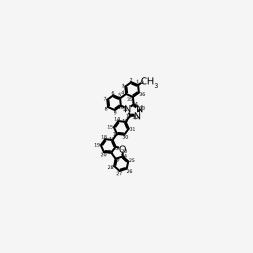 Cc1ccc2c3ccccc3n3c(-c4ccc(-c5cccc6c5oc5ccccc56)cc4)nnc3c2c1